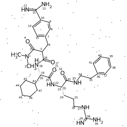 CN(C)C(=O)C(Cc1ccc(C(=N)N)cc1)C(=O)N[C@H](C(=O)N[C@@H](CCCNC(=N)N)C(=O)NCCc1ccccc1)C1CCCCC1